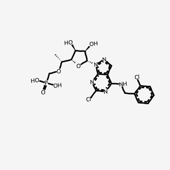 C[C@@H](OCP(=O)(O)O)[C@H]1O[C@@H](n2ncc3c(NCc4ccccc4Cl)nc(Cl)nc32)[C@H](O)[C@@H]1O